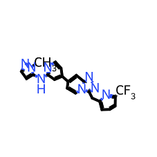 Cn1nccc1Nc1cc(-c2ccn3c(Cc4cccc(C(F)(F)F)n4)nnc3c2)ccn1